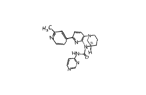 Cc1cc(-c2ccc3c(n2)N(C(=O)Nc2ccncn2)[C@H]2CCCN3C2)ccn1